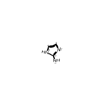 [NH]c1ncc[nH]1